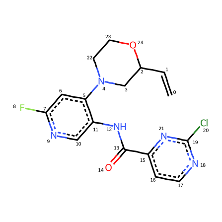 C=CC1CN(c2cc(F)ncc2NC(=O)c2ccnc(Cl)n2)CCO1